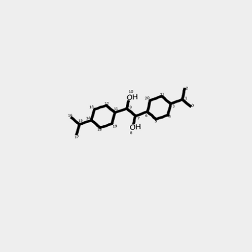 CC(C)C1CCC(C(O)C(O)C2CCC(C(C)C)CC2)CC1